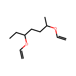 C=COC(C)CCC(CC)OC=C